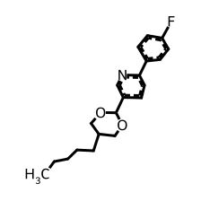 CCCCCC1COC(c2ccc(-c3ccc(F)cc3)nc2)OC1